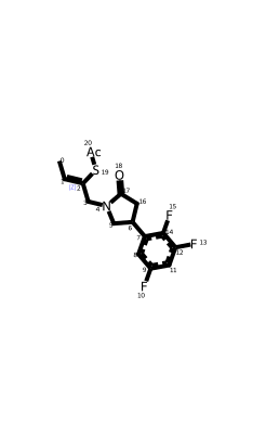 C/C=C(/CN1CC(c2cc(F)cc(F)c2F)CC1=O)SC(C)=O